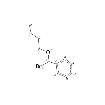 CCCCOC(Br)c1ccccc1